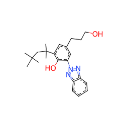 CC(C)(C)CC(C)(C)c1cc(CCCO)cc(-n2nc3ccccc3n2)c1O